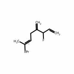 C=CC(F)C(=C)C/C=C(\C)CCC